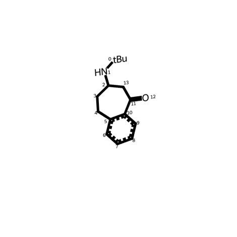 CC(C)(C)NC1CCc2ccccc2C(=O)C1